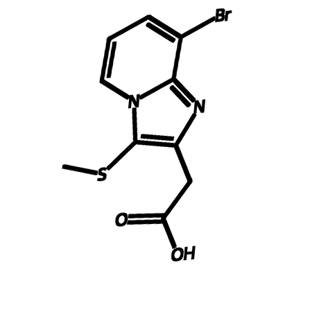 CSc1c(CC(=O)O)nc2c(Br)cccn12